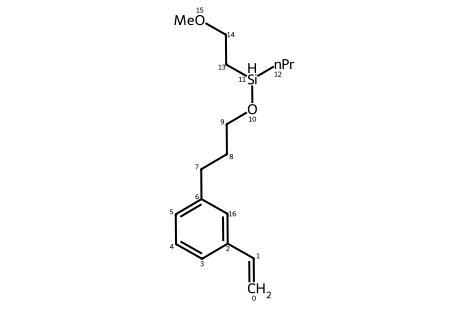 C=Cc1cccc(CCCO[SiH](CCC)CCOC)c1